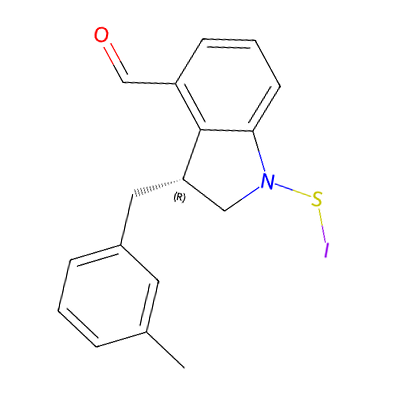 Cc1cccc(C[C@H]2CN(SI)c3cccc(C=O)c32)c1